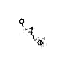 CC1(C)[C@@H]2CC3OB(CCC[C@]4(C)C5CC5N(C(=O)OCc5ccccc5)[C@@H]4C(=O)O)O[C@@]3(C)[C@H]1C2